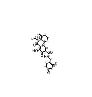 C=C1CCCN2[C@@H]1N(CC)C(=O)c1c(O)c(=O)c(C(=O)NCc3ccc(Cl)cc3F)cn12